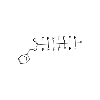 O=C(OCC1CC2C=CC1C2)C(F)(F)C(F)(F)C(F)(F)C(F)(F)C(F)(F)C(F)(F)C(F)(F)F